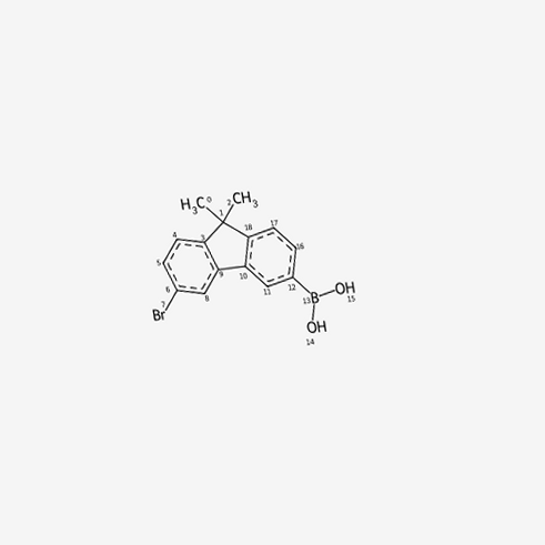 CC1(C)c2ccc(Br)cc2-c2cc(B(O)O)ccc21